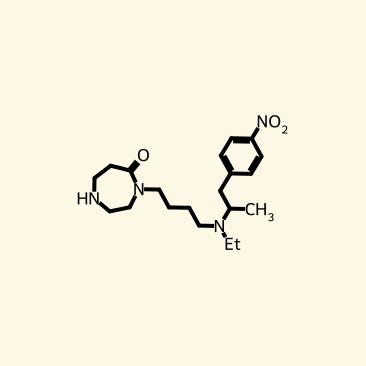 CCN(CCCCN1CCNCCC1=O)C(C)Cc1ccc([N+](=O)[O-])cc1